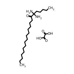 CCCCCCCCCCCCCCCC(=O)C(N)(N)CCCCC.O=C(O)C(=O)O